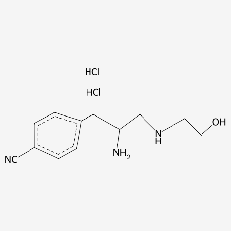 Cl.Cl.N#Cc1ccc(CC(N)CNCCO)cc1